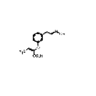 CC=C(Oc1cccc(CC=NO)c1)C(=O)O